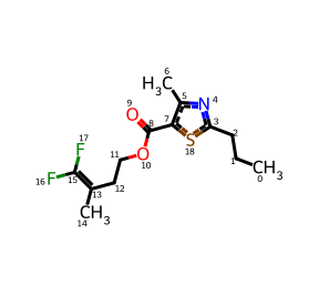 CCCc1nc(C)c(C(=O)OCCC(C)=C(F)F)s1